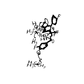 CC(C)(C)OCCOc1ccc(C(=O)NCC(O)(c2cc3c(c(-c4ccc(F)cc4)n2)OCC3(C)N[S+]([O-])C(C)(C)C)C(F)(F)F)cc1F